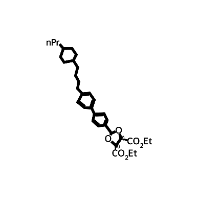 CCCC1CCC(CCCCc2ccc(-c3ccc(C4O[C@@H](C(=O)OCC)[C@H](C(=O)OCC)O4)cc3)cc2)CC1